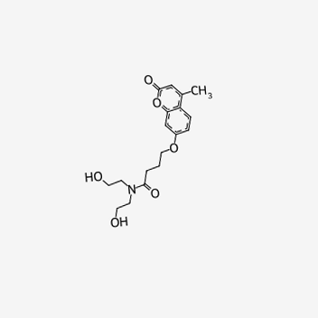 Cc1cc(=O)oc2cc(OCCCC(=O)N(CCO)CCO)ccc12